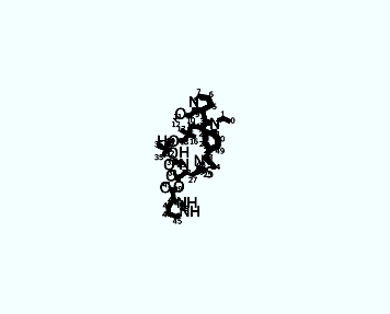 CCn1c(-c2cccnc2COC)c(CC(C)(C)CO)c2cc(-c3csc(C[C@H](NC(=O)OC(C)(C)C)C(=O)OC(=O)C4CCCNN4)n3)ccc21